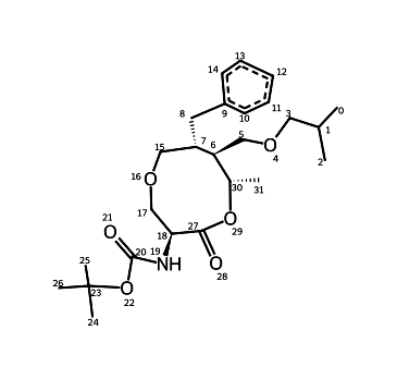 CC(C)COC[C@@H]1[C@@H](Cc2ccccc2)COC[C@H](NC(=O)OC(C)(C)C)C(=O)O[C@H]1C